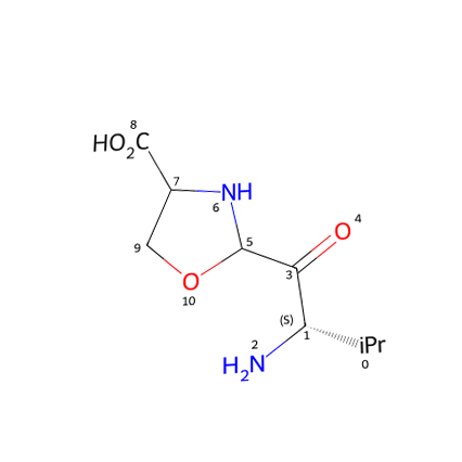 CC(C)[C@H](N)C(=O)C1NC(C(=O)O)CO1